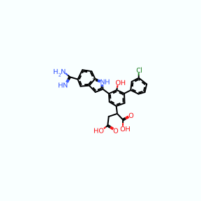 N=C(N)c1ccc2[nH]c(-c3cc(C(CC(=O)O)C(=O)O)cc(-c4cccc(Cl)c4)c3O)cc2c1